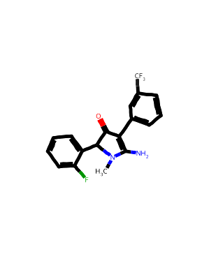 CN1C(N)=C(c2cccc(C(F)(F)F)c2)C(=O)C1c1ccccc1F